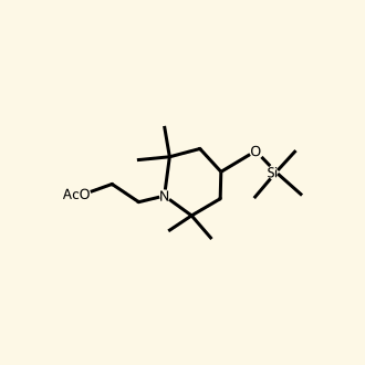 CC(=O)OCCN1C(C)(C)CC(O[Si](C)(C)C)CC1(C)C